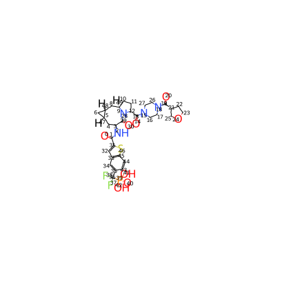 O=C(N[C@H]1C[C@@H]2C[C@@H]2C[C@H]2CC[C@@H](C(=O)N3CCN(C(=O)[C@H]4CCOC4)CC3)N2C1=O)c1cc2cc(C(F)(F)P(=O)(O)O)ccc2s1